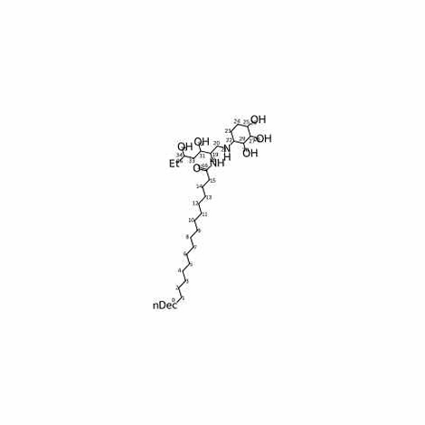 CCCCCCCCCCCCCCCCCCCCCCCCCC(=O)NC(CNC1CCC(O)C(O)C1O)C(O)CC(O)CC